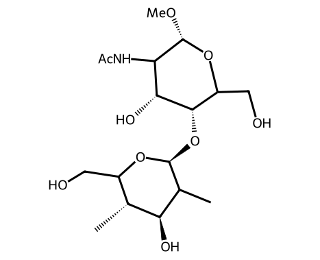 CO[C@@H]1OC(CO)[C@H](O[C@@H]2OC(CO)[C@@H](C)[C@H](O)C2C)[C@H](O)C1NC(C)=O